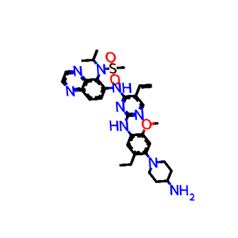 C=Cc1cnc(Nc2cc(CC)c(N3CCC(N)CC3)cc2OC)nc1Nc1ccc2nccnc2c1N(C(C)C)S(C)(=O)=O